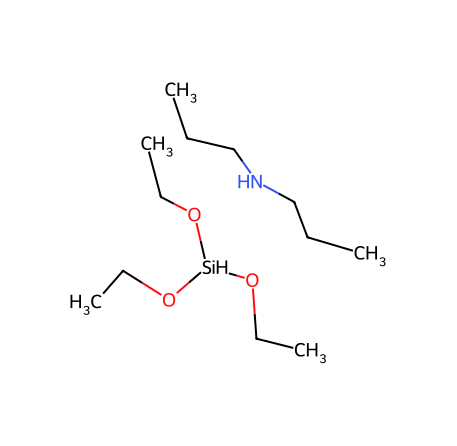 CCCNCCC.CCO[SiH](OCC)OCC